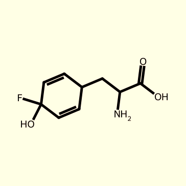 NC(CC1C=CC(O)(F)C=C1)C(=O)O